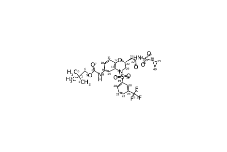 CC(C)(C)COC(=O)Nc1ccc2c(c1)N(S(=O)(=O)c1cccc(C(F)(F)F)c1)C[C@H](CC(=O)NS(=O)(=O)C1CC1)O2